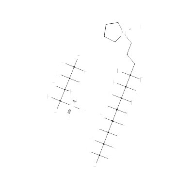 C[N+]1(CCCC(F)(F)C(F)(F)C(F)(F)C(F)(F)C(F)(F)C(F)(F)C(F)(F)C(F)(F)F)CCCC1.O=S(=O)([O-])C(F)(F)C(F)(F)C(F)(F)C(F)(F)F